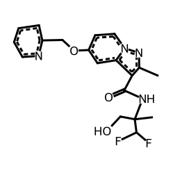 Cc1nn2ccc(OCc3ccccn3)cc2c1C(=O)NC(C)(CO)C(F)F